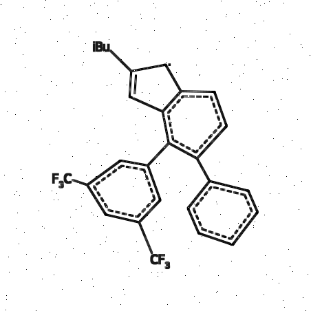 CCC(C)C1=Cc2c(ccc(-c3ccccc3)c2-c2cc(C(F)(F)F)cc(C(F)(F)F)c2)[CH]1